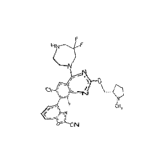 CN1CCC[C@H]1COc1nc(N2CCNCC(F)(F)C2)c2cc(Cl)c(-c3cccc4oc(C#N)nc34)c(F)c2n1